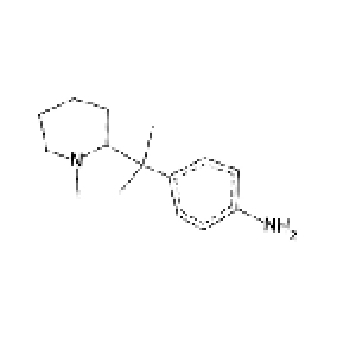 CN1CCCCC1C(C)(C)c1ccc(N)cc1